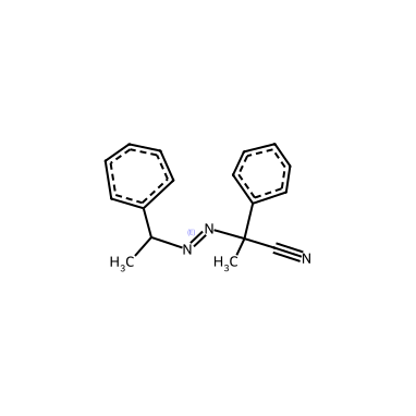 CC(/N=N/C(C)(C#N)c1ccccc1)c1ccccc1